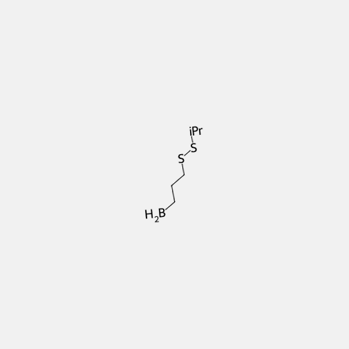 BCCCSSC(C)C